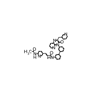 CC(=O)Nc1ccc(C=CC(=O)Nc2cccc(-c3cccc(-n4c(=O)c(Cc5cccnc5)nc5cccnc54)c3)c2)cn1